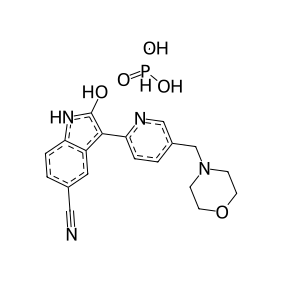 N#Cc1ccc2[nH]c(O)c(-c3ccc(CN4CCOCC4)cn3)c2c1.O=[PH](O)O